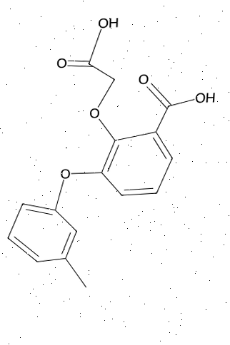 Cc1cccc(Oc2cccc(C(=O)O)c2OCC(=O)O)c1